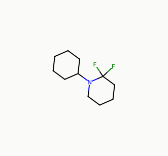 FC1(F)CCCCN1C1CCCCC1